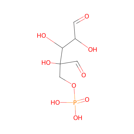 O=CC(O)C(O)C(O)(C=O)COP(=O)(O)O